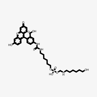 O=C(O)c1cc(NC(=S)NCCCCCCOP(=O)(O)OCNCCCCCCO)ccc1-c1c2ccc(=O)cc-2oc2cc(O)ccc12